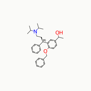 CC(O)c1ccc(OCc2ccccc2)c([C@H](CCN(C(C)C)C(C)C)c2ccccc2)c1